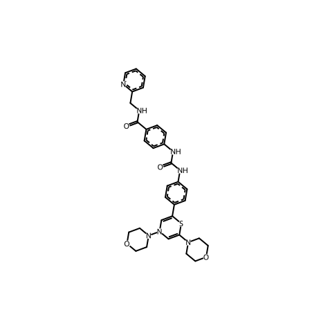 O=C(Nc1ccc(C(=O)NCc2ccccn2)cc1)Nc1ccc(C2=CN(N3CCOCC3)C=C(N3CCOCC3)S2)cc1